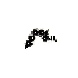 C=C(Oc1ccccc1N)c1ccc(-c2cccc(-c3ccc(-c4ccc(F)cc4)cc3)c2)cc1